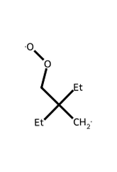 [CH2]C(CC)(CC)CO[O]